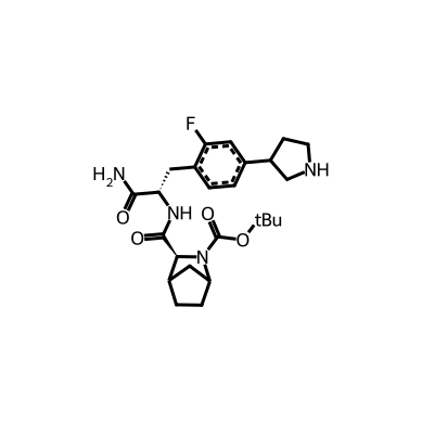 CC(C)(C)OC(=O)N1C2CCC(C2)[C@H]1C(=O)N[C@@H](Cc1ccc(C2CCNC2)cc1F)C(N)=O